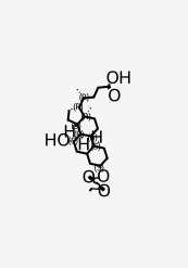 C[C@H](CCC(=O)O)[C@H]1CC[C@H]2[C@@H]3[C@@H](O)CC4C[C@@H](OS(C)(=O)=O)CC[C@]4(C)[C@H]3CC[C@]12C